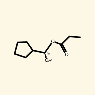 CCC(=O)O[C@@H](O)C1CCCC1